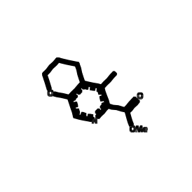 COC(=O)c1ncc2c(c1C)CCCO2